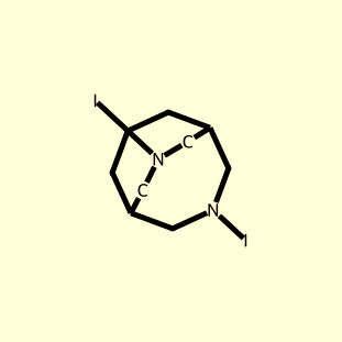 IN1CC2CCCC(C1)CN(I)C2